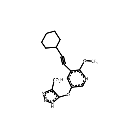 O=C(O)c1nn[nH]c1Oc1cnc(OC(F)(F)F)c(C#CC2CCCCC2)c1